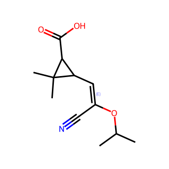 CC(C)O/C(C#N)=C/C1C(C(=O)O)C1(C)C